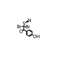 N#CSC(Br)(Br)C(=O)c1ccc(O)cc1